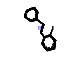 Ic1ccccc1/C=C/c1ccccc1